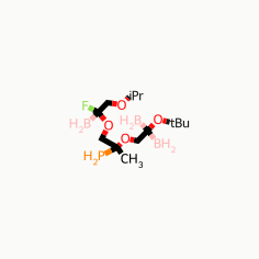 BC(B)(COC(C)(P)COC(B)(F)COC(C)C)OC(C)(C)C